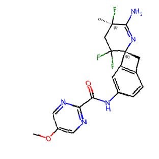 COc1cnc(C(=O)Nc2ccc3c(c2)[C@@]2(C3)N=C(N)[C@](C)(F)CC2(F)F)nc1